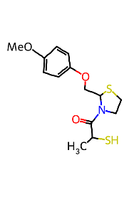 COc1ccc(OCC2SCCN2C(=O)C(C)S)cc1